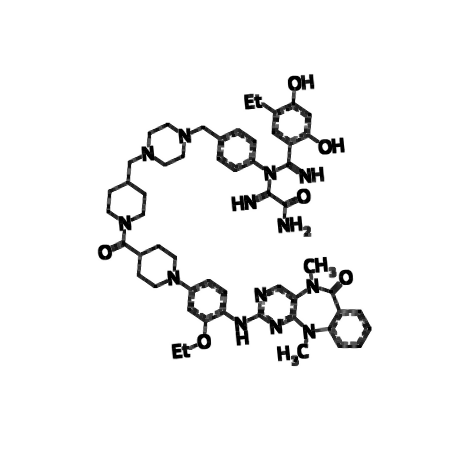 CCOc1cc(N2CCC(C(=O)N3CCC(CN4CCN(Cc5ccc(N(C(=N)C(N)=O)C(=N)c6cc(CC)c(O)cc6O)cc5)CC4)CC3)CC2)ccc1Nc1ncc2c(n1)N(C)c1ccccc1C(=O)N2C